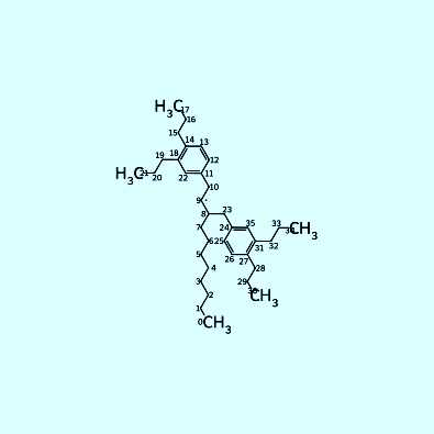 CCCCCCCCC([CH]Cc1ccc(CCC)c(CCC)c1)Cc1ccc(CCC)c(CCC)c1